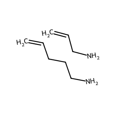 C=CCCCN.C=CCN